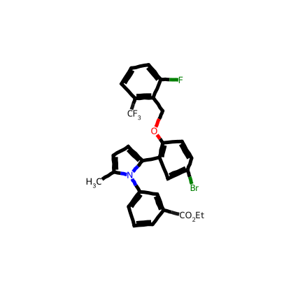 CCOC(=O)c1cccc(-n2c(C)ccc2-c2cc(Br)ccc2OCc2c(F)cccc2C(F)(F)F)c1